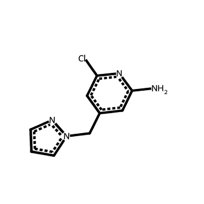 Nc1cc(Cn2cccn2)cc(Cl)n1